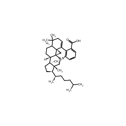 CC(C)CCC[C@@H](C)[C@H]1CC[C@@]2(C)[C@@H]3CC[C@H]4C(C)(C)CC=C(c5c(N)cccc5C(=O)O)[C@@]45C[C@@]35CC[C@]12C